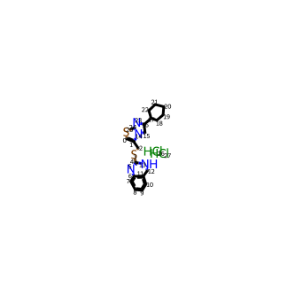 C1=C(CSC2=Nc3ccccc3CN2)N2CC(C3CCCCC3)N=C2S1.Cl.Cl